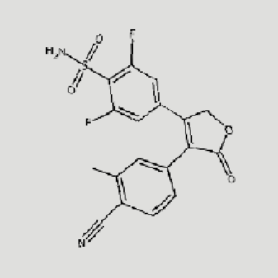 Cc1cc(C2=C(c3cc(F)c(S(N)(=O)=O)c(F)c3)COC2=O)ccc1C#N